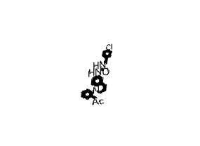 CC(=O)Cc1ccccc1N1CCCc2cc(NC(=O)NCc3ccc(Cl)cc3)ccc21